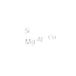 [Al].[Cu].[Mg].[Si]